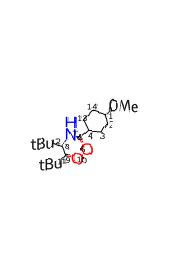 COC1CCC(C(=O)NC(C(=O)C(C)(C)C)C(C)(C)C)CC1